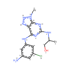 CCC(CO)Nc1nc(Nc2cc(N)cc(Cl)c2)c2nnn(C(C)C)c2n1